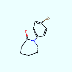 O=C1CCCCCN1c1ccc(Br)cc1